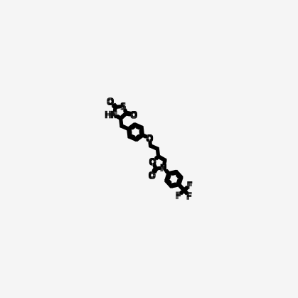 O=C1NC(Cc2ccc(OCCC3CN(c4ccc(C(F)(F)F)cc4)C(=O)O3)cc2)C(=O)S1